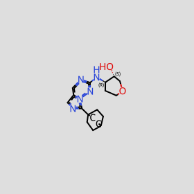 O[C@@H]1COCC[C@H]1Nc1ncc2cnc(C34CCC(CC3)CC4)n2n1